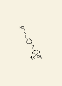 CC1(C)OCC(COc2ccc(CCCCO)cc2)O1